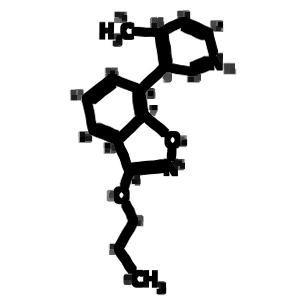 CCCOc1noc2c(-c3cnccc3C)cccc12